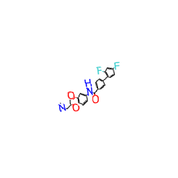 CN(C)CC1COc2cc(NC(=O)c3ccc(-c4ccc(F)cc4F)cc3)ccc2O1